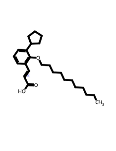 CCCCCCCCCCCOc1c(/C=C/C(=O)O)cccc1C1CCCC1